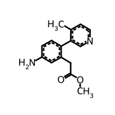 COC(=O)Cc1cc(N)ccc1-c1cnccc1C